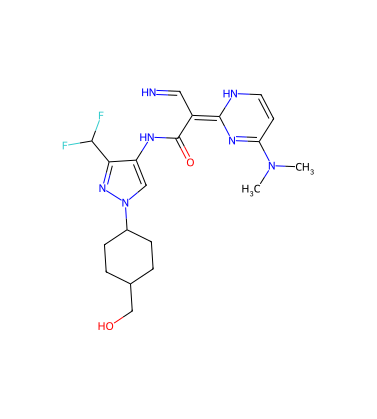 CN(C)C1=N/C(=C(/C=N)C(=O)Nc2cn(C3CCC(CO)CC3)nc2C(F)F)NC=C1